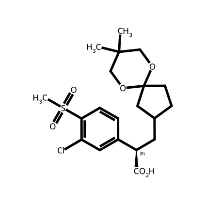 CC1(C)COC2(CCC(C[C@@H](C(=O)O)c3ccc(S(C)(=O)=O)c(Cl)c3)C2)OC1